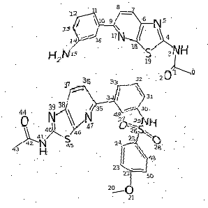 CC(=O)Nc1nc2ccc(-c3cccc(N)c3)nc2s1.COc1ccc(S(=O)(=O)Nc2cccc(-c3ccc4nc(NC(C)=O)sc4n3)c2)cc1